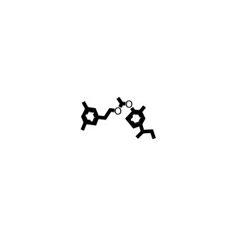 CCC(C)c1ccc(OC(C)OCCc2cc(C)cc(C)c2)c(C)c1